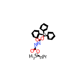 CCC[SiH2]OC(=O)/N=N/C(=O)O[Si](c1ccccc1)(c1ccccc1)c1ccccc1